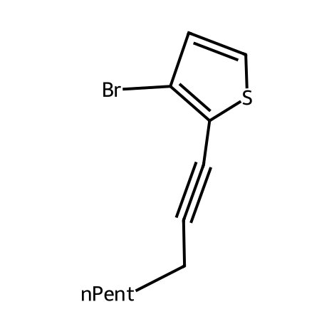 CCCCCCC#Cc1sccc1Br